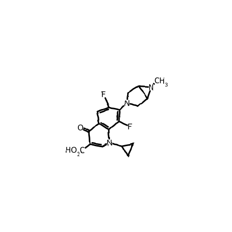 CN1C2CN(c3c(F)cc4c(=O)c(C(=O)O)cn(C5CC5)c4c3F)CC21